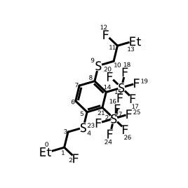 CCC(F)CSc1ccc(SCC(F)CC)c(S(F)(F)(F)(F)F)c1S(F)(F)(F)(F)F